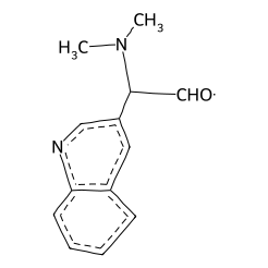 CN(C)C([C]=O)c1cnc2ccccc2c1